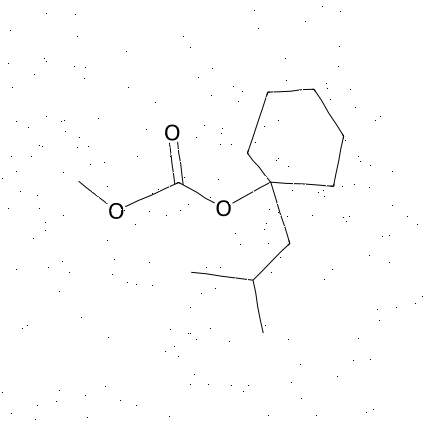 COC(=O)OC1(CC(C)C)CCCCC1